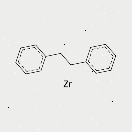 [Zr].c1ccc(CCc2ccccc2)cc1